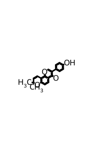 CC1(C)C=Cc2c(ccc3c(=O)c(-c4ccc(O)cc4)coc23)O1